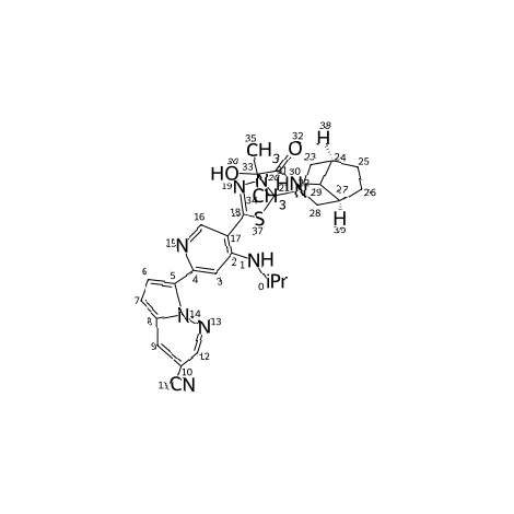 CC(C)Nc1cc(-c2ccc3cc(C#N)cnn23)ncc1-c1nnc(N2C[C@H]3CC[C@@H](C2)C3NC(=O)C(C)(C)O)s1